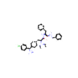 CCN(CC)C(CC1CCC(C(c2ccc(Cl)cc2)N(C)C)CC1)c1nc(Cc2ccccc2)c(N(C)Cc2ccccc2)o1